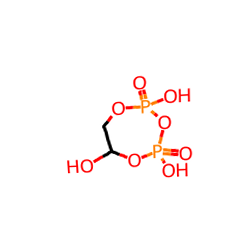 O=P1(O)OCC(O)OP(=O)(O)O1